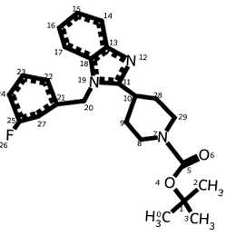 CC(C)(C)OC(=O)N1CCC(c2nc3ccccc3n2Cc2cccc(F)c2)CC1